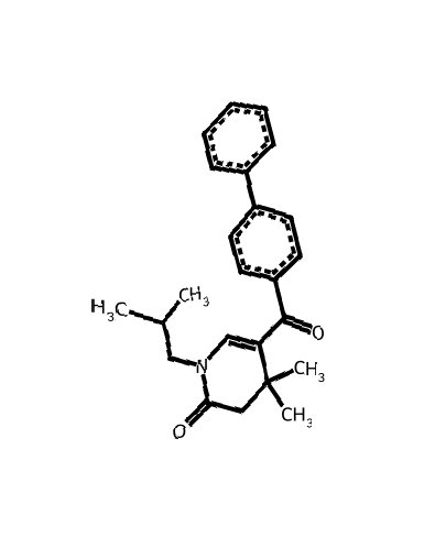 CC(C)CN1C=C(C(=O)c2ccc(-c3ccccc3)cc2)C(C)(C)CC1=O